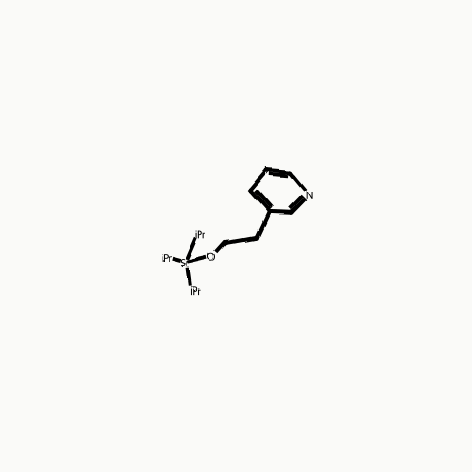 CC(C)[Si](OCCc1cccnc1)(C(C)C)C(C)C